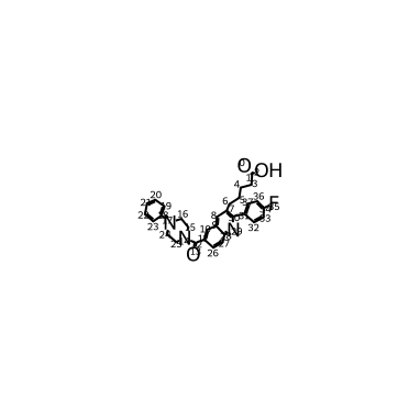 O=C(O)CCCCc1cc2cc(C(=O)N3CCN(c4ccccc4)CC3)ccc2nc1-c1ccc(F)cc1